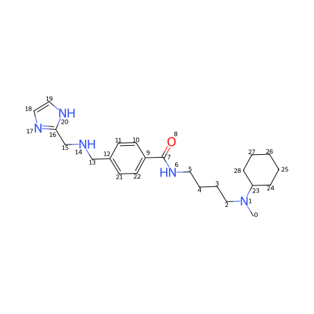 CN(CCCCNC(=O)c1ccc(CNCc2ncc[nH]2)cc1)C1CCCCC1